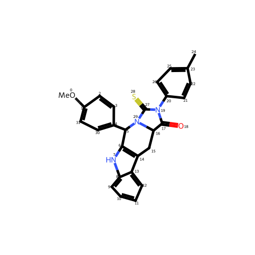 COc1ccc(C2c3[nH]c4ccccc4c3CC3C(=O)N(c4ccc(C)cc4)C(=S)N32)cc1